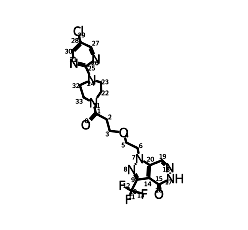 O=C(CCOCCn1nc(C(F)(F)F)c2c(=O)[nH]ncc21)N1CCN(c2ncc(Cl)cn2)CC1